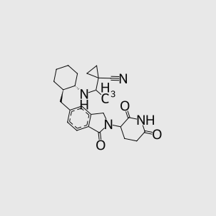 CC(N[C@H]1CCCC[C@@H]1Cc1ccc2c(c1)CN(C1CCC(=O)NC1=O)C2=O)C1(C#N)CC1